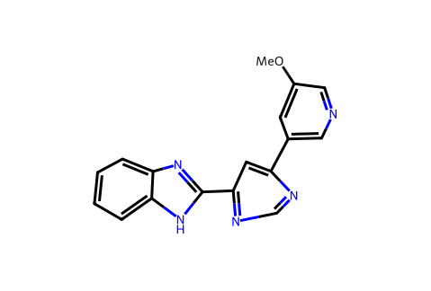 COc1cncc(-c2cc(-c3nc4ccccc4[nH]3)ncn2)c1